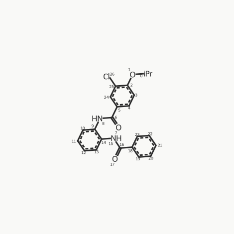 CC(C)Oc1ccc(C(=O)Nc2ccccc2NC(=O)c2ccccc2)cc1Cl